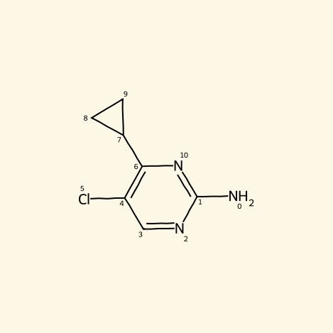 Nc1ncc(Cl)c(C2CC2)n1